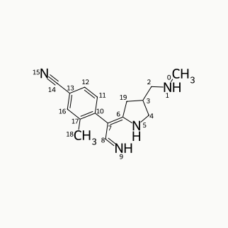 CNCC1CN/C(=C(\C=N)c2ccc(C#N)cc2C)C1